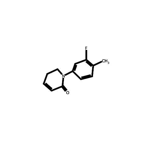 Cc1ccc(N2CCC=CC2=O)cc1F